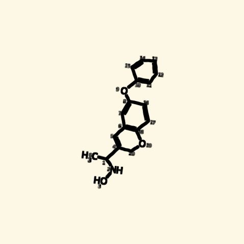 CC(NO)C1=Cc2cc(Oc3ccccc3)ccc2OC1